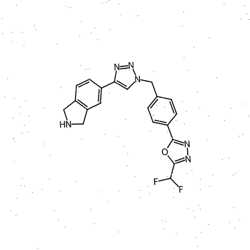 FC(F)c1nnc(-c2ccc(Cn3cc(-c4ccc5c(c4)CNC5)nn3)cc2)o1